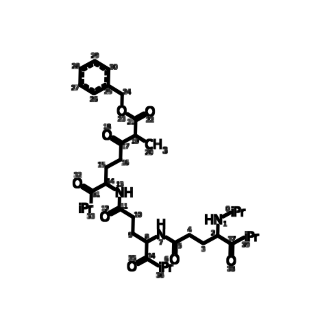 CC(C)NC(CCC(=O)NC(CCC(=O)NC(CCC(=O)C(C)C(=O)OCc1ccccc1)C(=O)C(C)C)C(=O)C(C)C)C(=O)C(C)C